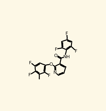 Cc1c(F)c(F)cc(Oc2ncccc2C(=O)Nc2c(F)cc(F)cc2F)c1F